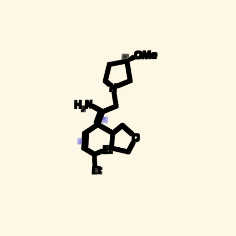 CCC(/C=C\C(=C(/N)CN1CC[C@@H](OC)C1)C1CCOC1)CC